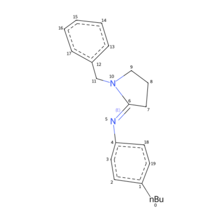 CCCCc1ccc(/N=C2\CCCN2Cc2ccccc2)cc1